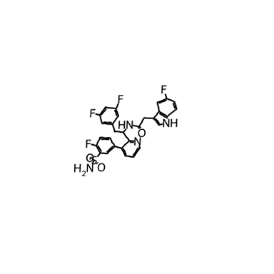 NS(=O)(=O)c1cc(-c2cccnc2C(Cc2cc(F)cc(F)c2)NC(=O)Cc2c[nH]c3ccc(F)cc23)ccc1F